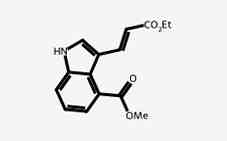 CCOC(=O)C=Cc1c[nH]c2cccc(C(=O)OC)c12